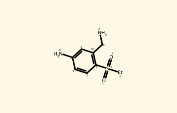 CCS(=O)(=O)c1ccc(N)cc1CN